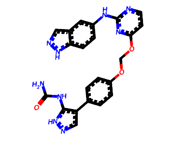 NC(=O)Nc1[nH]ncc1-c1ccc(OCOc2ccnc(Nc3ccc4[nH]ncc4c3)n2)cc1